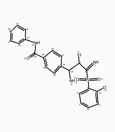 CCC(C(=N)S(=O)(=O)c1ccccc1Cl)C(N)c1ccc(C(=O)Nc2ccncc2)cc1